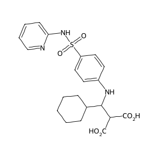 O=C(O)C(C(=O)O)C(Nc1ccc(S(=O)(=O)Nc2ccccn2)cc1)C1CCCCC1